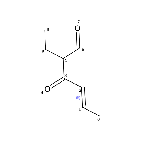 C/C=C/C(=O)C(C=O)CC